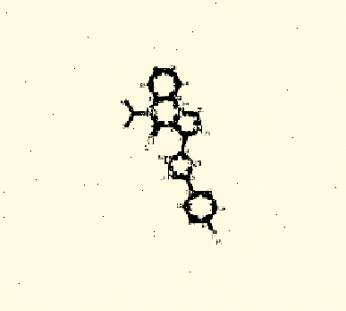 CC(C)n1c(=O)c2c(-c3nc(-c4ccc(F)cc4)no3)ncn2c2ccccc21